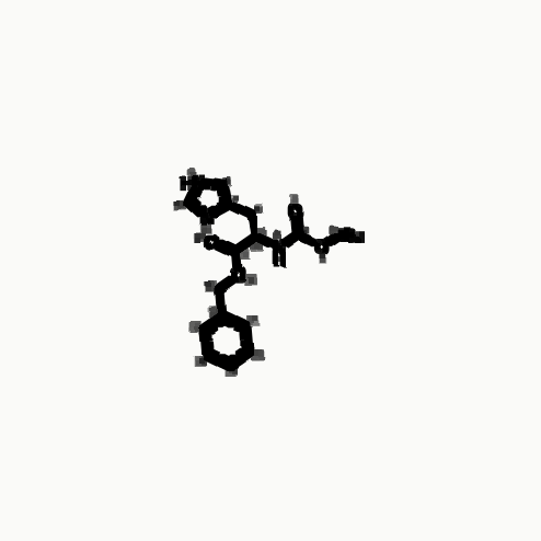 CC(C)(C)OC(=O)N[C@H](Cc1c[nH]cn1)C(=O)OCc1ccccc1